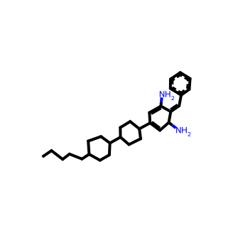 CCCCCC1CCC(C2CCC(C3=CC(N)C(=Cc4ccccc4)C(N)=C3)CC2)CC1